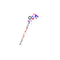 O=C1CCC(N2C(=O)c3cccc(NC(=O)CCCCCOCCOCCOCCCCCCCl)c3C2=O)C(=O)N1